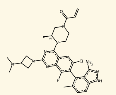 C=CC(=O)N1CCN(c2nc(N3CC(N(C)C)C3)nc3c(F)c(-c4c(C)ccc5[nH]nc(N)c45)c(Cl)cc23)[C@@H](C)C1